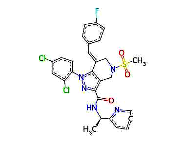 C[C@@H](NC(=O)c1nn(-c2ccc(Cl)cc2Cl)c2c1CN(S(C)(=O)=O)C/C2=C\c1ccc(F)cc1)c1ccccn1